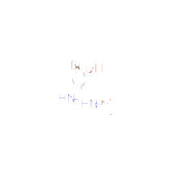 N=C[C@@H](CNC1CCCCO1)C1=CC(O)C(Br)C=C1